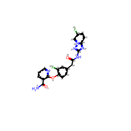 NC(=O)c1cccnc1Oc1ccc(CC(=O)Nc2nc3ccc(F)cn3n2)cc1F